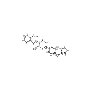 Cn1nccc1Nc1cc(N2CCC(N3CCc4ccccc4C3)[C@@H](O)C2)ncn1